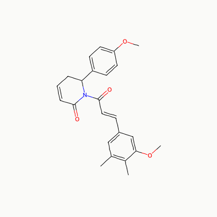 COc1ccc(C2CC=CC(=O)N2C(=O)/C=C/c2cc(C)c(C)c(OC)c2)cc1